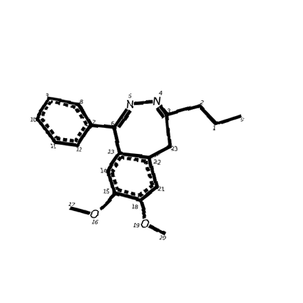 CCCC1=NN=C(c2ccccc2)c2cc(OC)c(OC)cc2C1